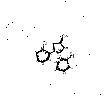 O=C1C[C@H](c2ccccc2Cl)[C@@H](c2ccccc2Cl)C1